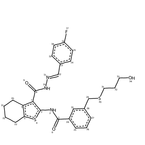 O=C(Nc1sc2c(c1C(=O)NN=Cc1ccc(F)cc1)CCCC2)c1cccc(CSCCCO)c1